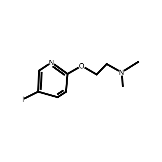 CN(C)CCOc1ccc(I)cn1